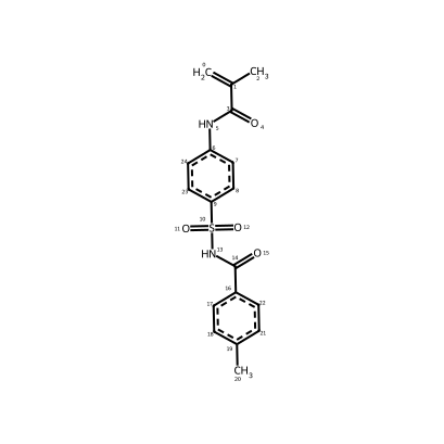 C=C(C)C(=O)Nc1ccc(S(=O)(=O)NC(=O)c2ccc(C)cc2)cc1